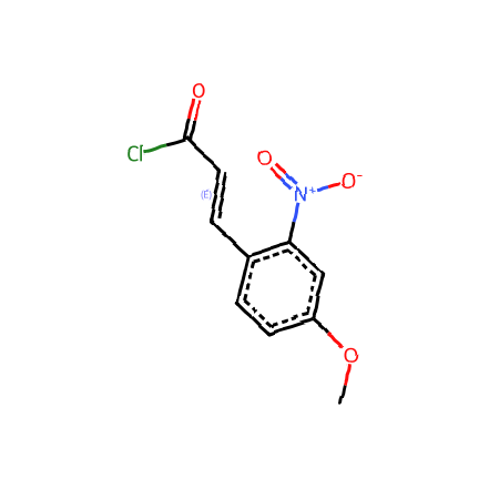 COc1ccc(/C=C/C(=O)Cl)c([N+](=O)[O-])c1